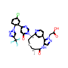 C[C@@H]1CCC[C@H](n2cnc(-c3cc(Cl)ccc3-n3cc(C(F)(F)F)nn3)cc2=O)c2cc(ccn2)-c2c(cnn2CC(=O)O)NC1=O